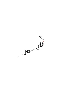 CCCCCCCOC[C@H](COCCCCCCCCOC1CC[C@@]2(C)C(=CC[C@H]3[C@@H]4CC[C@H]([C@H](C)CCCC(C)C)[C@@]4(C)CC[C@@H]32)C1)N(C)C